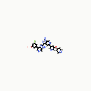 Oc1cc(F)cc(-c2cncc3[nH]c(-c4n[nH]c5cnc(-c6cncc(OC7CCNCC7)c6)cc45)nc23)c1